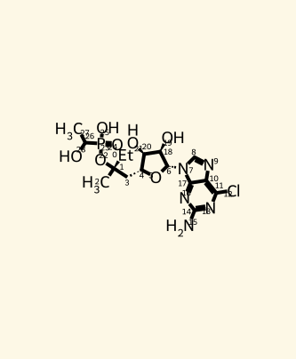 CC[C@](C)(C[C@H]1O[C@@H](n2cnc3c(Cl)nc(N)nc32)[C@H](O)[C@@H]1O)OP(=O)(O)C(C)O